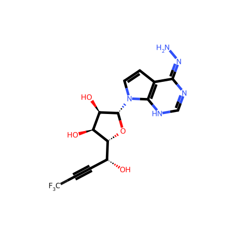 N/N=c1/nc[nH]c2c1ccn2[C@@H]1O[C@H]([C@H](O)C#CC(F)(F)F)[C@@H](O)[C@H]1O